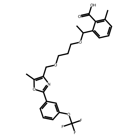 Cc1cccc(C(C)OCCCOCc2nc(-c3cccc(OC(F)(F)F)c3)oc2C)c1C(=O)O